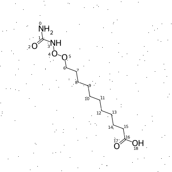 NC(=O)NOOCCCCCCCCCCC(=O)O